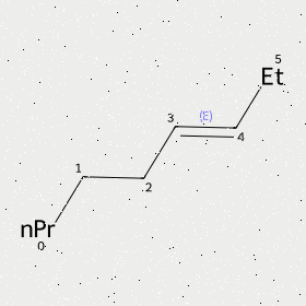 [CH2]CCCC/C=C/CC